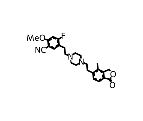 COc1cc(F)c(CCN2CCN(CCc3ccc4c(c3C)COC4=O)CC2)cc1C#N